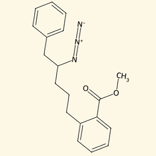 COC(=O)c1ccccc1CCCC(Cc1ccccc1)N=[N+]=[N-]